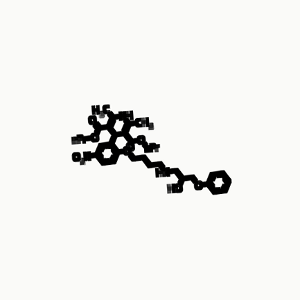 CCCOC(=O)C1=C(C)NC(C)=C(C(=O)OCCC)C1c1cc([N+](=O)[O-])ccc1OCCCCNCC(O)COc1ccccc1